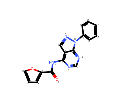 O=C(Nc1ncnc2c1cnn2-c1ccccc1)c1ccco1